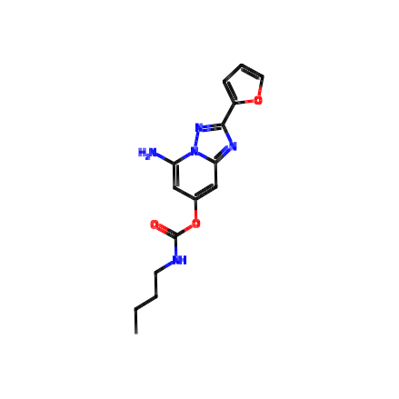 CCCCNC(=O)Oc1cc(N)n2nc(-c3ccco3)nc2c1